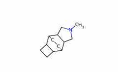 CN1CC2C3CCC(C4CCC43)C2C1